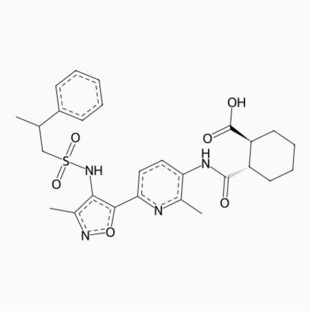 Cc1nc(-c2onc(C)c2NS(=O)(=O)CC(C)c2ccccc2)ccc1NC(=O)[C@H]1CCCC[C@@H]1C(=O)O